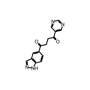 O=C(CCC(=O)c1ccc2[nH]ncc2c1)c1cncnc1